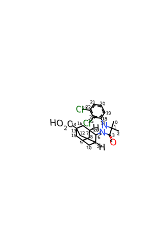 CC1(C)C(=O)N(C2[C@@H]3CC4C[C@@H]2CC(C(=O)O)(C4)C3)N1c1cccc(Cl)c1Cl